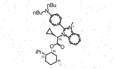 CCCCN(CCCC)c1ccc(-c2n([C@@H](C(=O)O[C@@H]3C[C@H](C)CC[C@H]3C(C)C)C3CC3)c3ccccc3[n+]2C)cc1